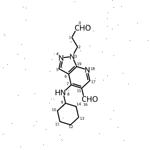 O=CCCn1ncc2c(NC3CCCCC3)c(C=O)cnc21